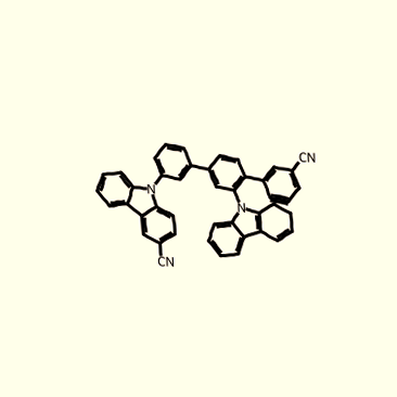 N#Cc1cc#cc(-c2ccc(-c3cccc(-n4c5ccccc5c5cc(C#N)ccc54)c3)cc2-n2c3c(c4ccccc42)C=CCC3)c1